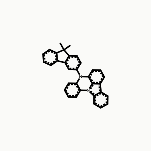 CC1(C)c2ccccc2-c2cc(N3c4ccccc4-n4c5ccccc5c5cccc3c54)ccc21